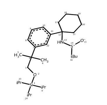 CC(C)[Si](OCC(C)(C)c1cccc(C2(N[S+]([O-])C(C)(C)C)CCCCC2)c1)(C(C)C)C(C)C